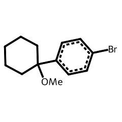 COC1(c2ccc(Br)cc2)CCCCC1